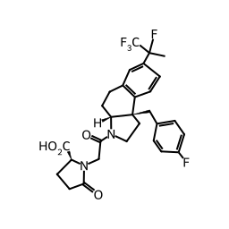 CC(F)(c1ccc2c(c1)CC[C@H]1N(C(=O)CN3C(=O)CC[C@H]3C(=O)O)CC[C@@]21Cc1ccc(F)cc1)C(F)(F)F